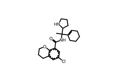 CC(NC(=O)c1cc(Cl)cc2c1OCCC2)(C1=CCCCC1)C1CCCN1